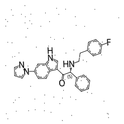 O=C(c1c[nH]c2cc(-n3cccn3)ccc12)[C@@H](NCCc1ccc(F)cc1)c1ccccc1